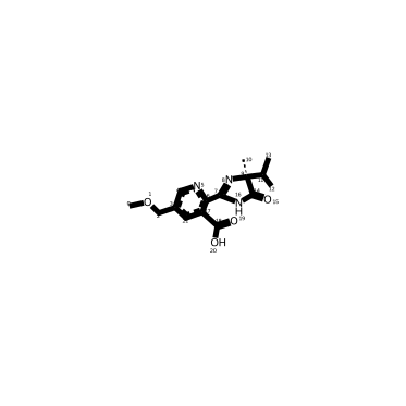 COCc1cnc(C2=N[C@@](C)(C(C)C)C(=O)N2)c(C(=O)O)c1